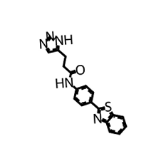 O=C(CCc1cnn[nH]1)Nc1ccc(-c2nc3ccccc3s2)cc1